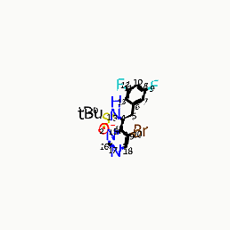 CC(C)(C)[S+]([O-])N[C@@H](Cc1cc(F)cc(F)c1)c1ncncc1Br